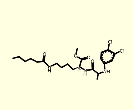 CCCCCC(=O)NCCCC[C@H](NC(=O)C(C)Nc1ccc(Cl)c(Cl)c1)C(=O)OC